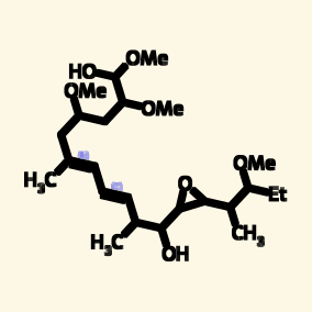 CCC(OC)C(C)C1OC1C(O)C(C)/C=C/C=C(\C)CC(CC(OC)C(O)OC)OC